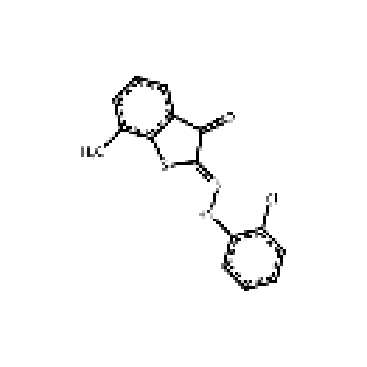 Cc1cccc2c1S/C(=N\Nc1ccccc1Cl)C2=O